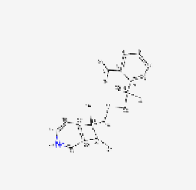 CC(C)c1ccccc1C(C)(C)CCCC1(C)c2ccncc2C1C